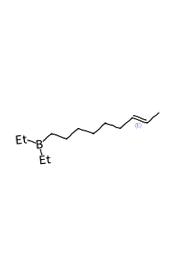 C/C=C/CCCCCCB(CC)CC